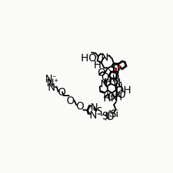 CC[C@]1(O)C[C@H]2CN(CCc3c([nH]c4ccccc34)[C@@](C(=O)OC)(c3cc4c(cc3OC)N(C)[C@H]3[C@@](O)(C(=O)NCCC[Si](C)(C)O[Si](C)(C)CSc5ncc(COCCOCCOCCN=[N+]=[N-])cn5)[C@H](O)[C@]5(CC)C=CCN6CC[C@]43[C@@H]65)C2)C1